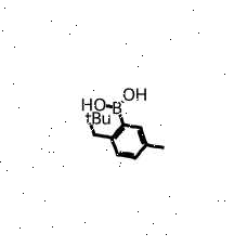 Cc1ccc(CC(C)(C)C)c(B(O)O)c1